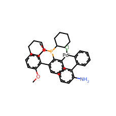 COc1cccc(OC)c1-c1ccc[c]([Pd-]([Cl])[c]2ccccc2-c2ccccc2N)c1P(C1CCCCC1)C1CCCCC1